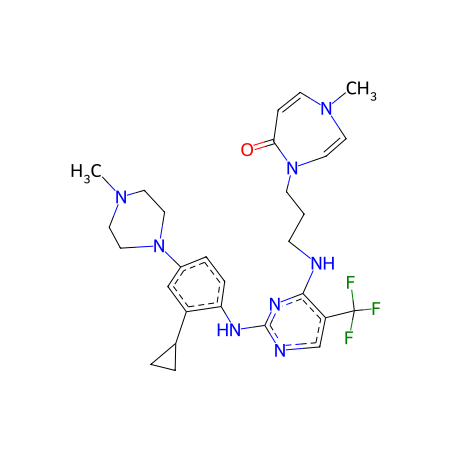 CN1C=CC(=O)N(CCCNc2nc(Nc3ccc(N4CCN(C)CC4)cc3C3CC3)ncc2C(F)(F)F)C=C1